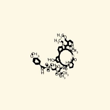 CCn1c(-c2cnccc2COC)c2c3cc(ccc31)-c1cc(O)cc(c1)C[C@H](NC(=O)[C@H](C(C)C)N(C)C(=O)CN(C)S(=O)(=O)[C@H]1N[C@H]1c1ccc(OC)cc1)C(=O)N1CCC[C@H](N1)C(=O)OCC(C)(C)C2